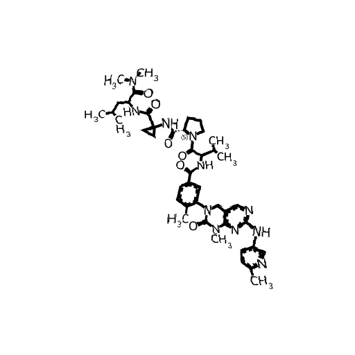 Cc1ccc(Nc2ncc3c(n2)N(C)C(=O)N(c2cc(C(=O)NC(C(=O)N4CCC[C@H]4C(=O)NC4(C(=O)NC(CC(C)C)C(=O)N(C)C)CC4)C(C)C)ccc2C)C3)cn1